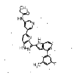 CCC(=O)Nc1cncc(-c2ccc3[nH]nc(-c4cc5c(-c6cc(C)cc(F)c6)nccc5[nH]4)c3n2)c1